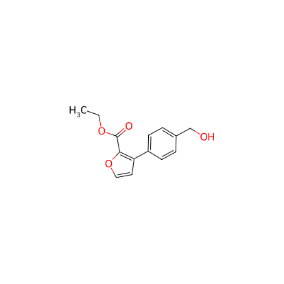 CCOC(=O)c1occc1-c1ccc(CO)cc1